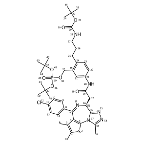 Cc1sc2c(c1C)C(c1ccc(Cl)cc1)=N[C@@H](CC(=O)Nc1ccc(CCCNC(=O)OC(C)(C)C)c(COP(=O)(OC(C)(C)C)OC(C)(C)C)c1)c1nnc(C)n1-2